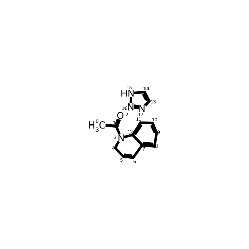 CC(=O)N1CC=Cc2ccccc21.c1c[nH]nn1